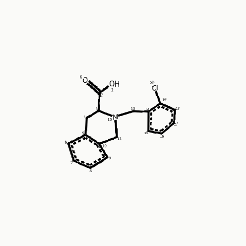 O=C(O)C1Cc2ccccc2CN1Cc1ccccc1Cl